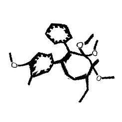 CCC1=[C]C(c2ccc(OC)c(C)c2)=C(c2ccccc2)C(OC)(OC)C1(C)OC